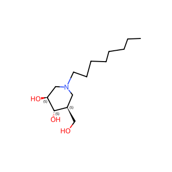 CCCCCCCCN1C[C@@H](CO)[C@H](O)[C@@H](O)C1